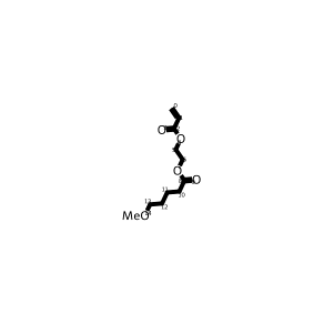 C=CC(=O)OCCOC(=O)CCCCOC